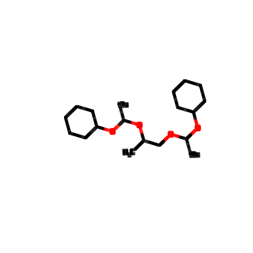 CC(COC(OC1CCCCC1)C(C)(C)C)OC(OC1CCCCC1)C(C)(C)C